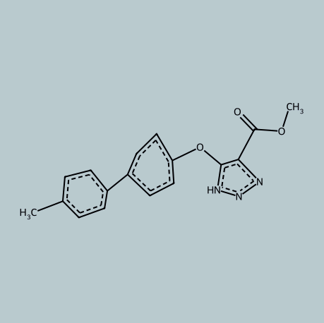 COC(=O)c1nn[nH]c1Oc1ccc(-c2ccc(C)cc2)cc1